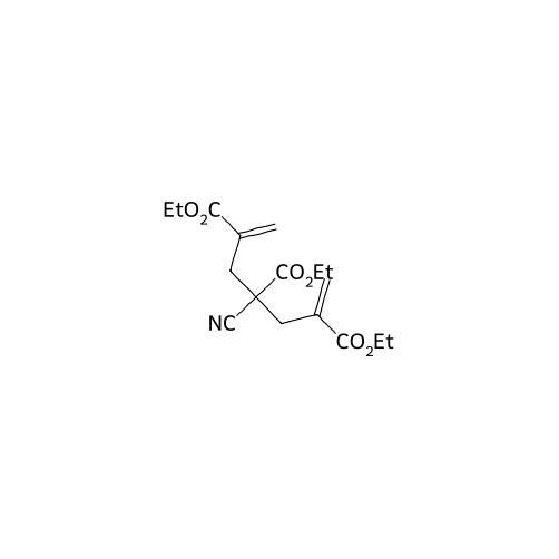 C=C(CC(C#N)(CC(=C)C(=O)OCC)C(=O)OCC)C(=O)OCC